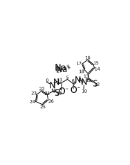 CN(/N=C(\[O-])C/C([O-])=N/N(C)C(=S)c1ccccc1)C(=S)c1ccccc1.[Na+].[Na+]